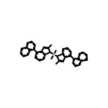 CC1=Cc2c(-c3cccc4ccccc34)cccc2C1[Si](C)(C)C1C(C)=Cc2c(-c3cccc4ccccc34)cccc21